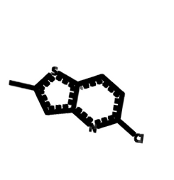 Cc1cc2nc(Cl)ccc2s1